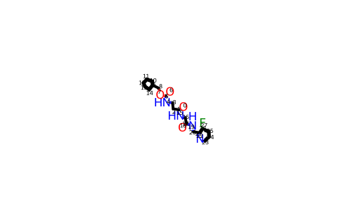 O=C(CCNC(=O)OCc1ccccc1)NCC(=O)NCc1ncccc1F